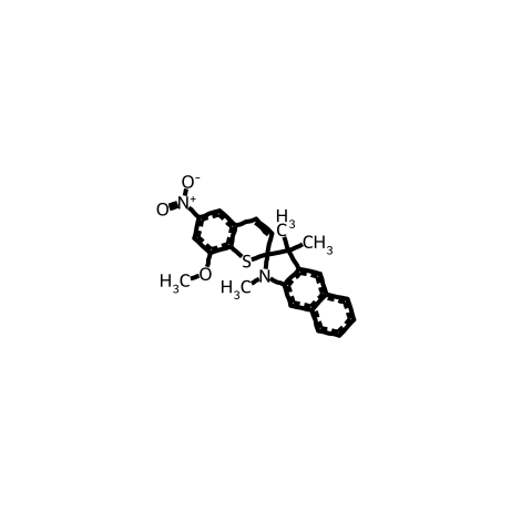 COc1cc([N+](=O)[O-])cc2c1SC1(C=C2)N(C)c2cc3ccccc3cc2C1(C)C